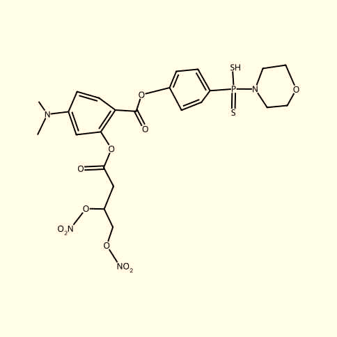 CN(C)c1ccc(C(=O)Oc2ccc(P(=S)(S)N3CCOCC3)cc2)c(OC(=O)CC(CO[N+](=O)[O-])O[N+](=O)[O-])c1